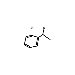 [CH2]C(Br)c1ccccc1.[Zn]